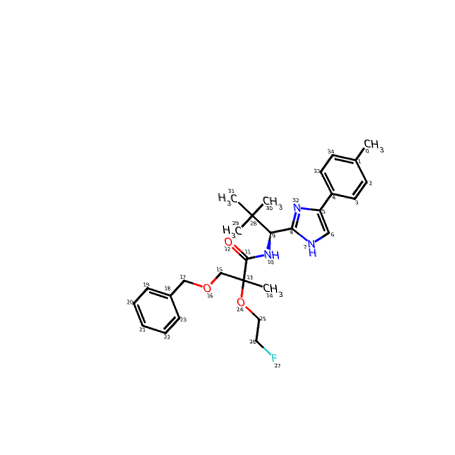 Cc1ccc(-c2c[nH]c([C@@H](NC(=O)C(C)(COCc3ccccc3)OCCF)C(C)(C)C)n2)cc1